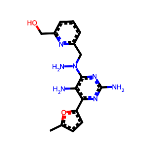 Cc1ccc(-c2nc(N)nc(N(N)Cc3cccc(CO)n3)c2N)o1